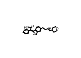 O=C1Nc2ccccc2C1=C1OCc2cc(CCNCC3CCOCC3)ccc21